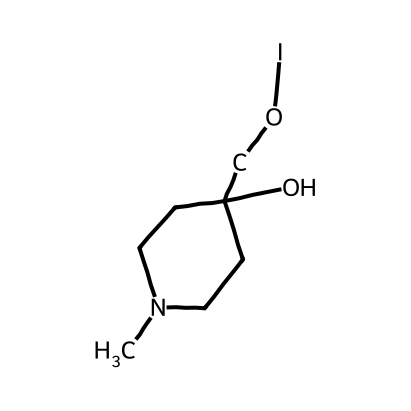 CN1CCC(O)(COI)CC1